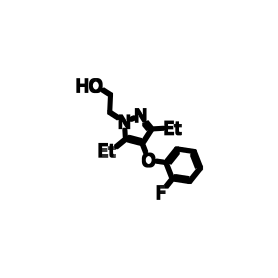 CCc1nn(CCO)c(CC)c1Oc1ccccc1F